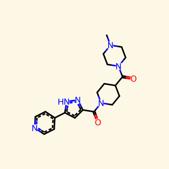 CN1CCN(C(=O)C2CCN(C(=O)c3cc(-c4ccncc4)[nH]n3)CC2)CC1